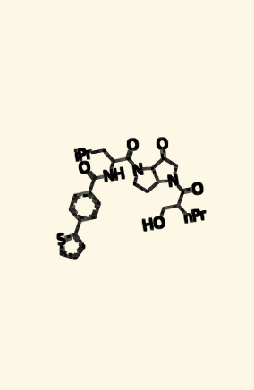 CCCC(CO)C(=O)N1CC(=O)C2C1CCN2C(=O)C(CC(C)C)NC(=O)c1ccc(-c2cccs2)cc1